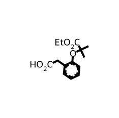 CCOC(=O)C(C)(C)Oc1ccccc1CC(=O)O